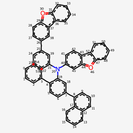 c1ccc(-c2ccc(-c3cccc4ccccc34)cc2N(c2cccc(-c3ccc4oc5ccccc5c4c3)c2)c2ccc3c(c2)oc2ccccc23)cc1